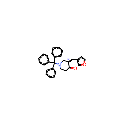 O=C1CCN(C(c2ccccc2)(c2ccccc2)c2ccccc2)C/C1=C/c1ccoc1